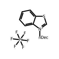 CCCCCCCCCC[n+]1csc2ccccc21.F[P-](F)(F)(F)(F)F